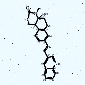 CN1C(=O)CC[C@]2(C)c3ccc(/C=C/c4cnc5ccccc5c4)cc3CC[C@@H]12